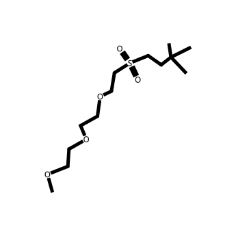 COCCOCCOCCS(=O)(=O)CCC(C)(C)C